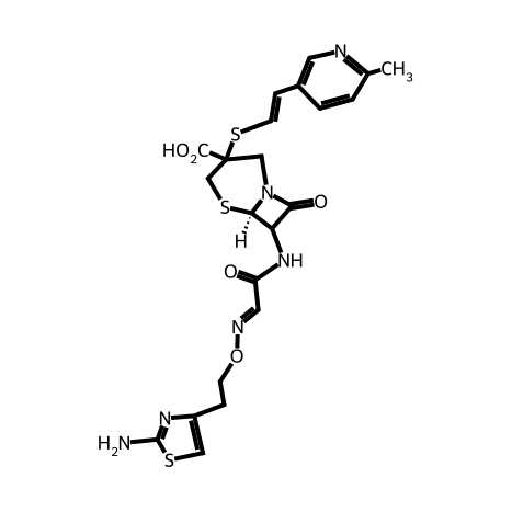 Cc1ccc(C=CSC2(C(=O)O)CS[C@@H]3C(NC(=O)C=NOCCc4csc(N)n4)C(=O)N3C2)cn1